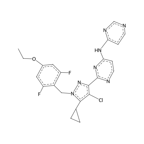 CCOc1cc(F)c(Cn2nc(-c3nccc(Nc4ccncn4)n3)c(Cl)c2C2CC2)c(F)c1